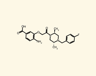 C[C@@H]1CN(C(=O)COc2cc(C(=O)O)ccc2N)[C@@H](C)CN1Cc1ccc(F)cc1